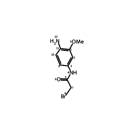 COc1cc(NC(=O)CBr)ccc1N